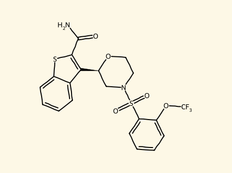 NC(=O)c1sc2ccccc2c1[C@@H]1CN(S(=O)(=O)c2ccccc2OC(F)(F)F)CCO1